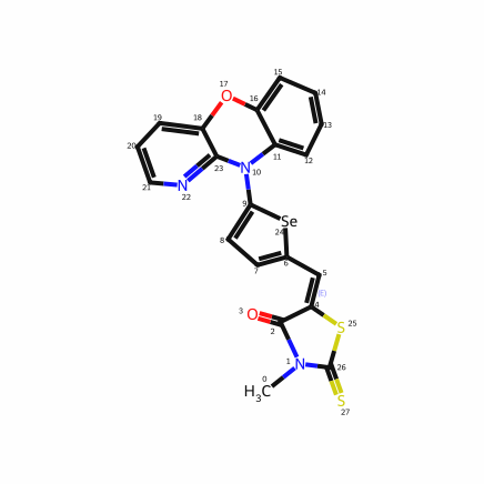 CN1C(=O)/C(=C\c2ccc(N3c4ccccc4Oc4cccnc43)[se]2)SC1=S